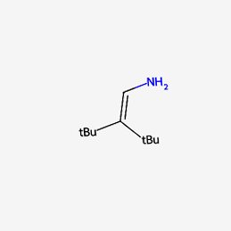 CC(C)(C)C(=CN)C(C)(C)C